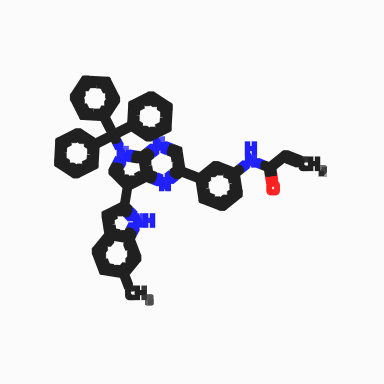 C=CC(=O)Nc1cccc(-c2cnc3c(n2)c(-c2cc4ccc(C)cc4[nH]2)cn3C(c2ccccc2)(c2ccccc2)c2ccccc2)c1